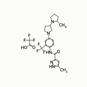 Cc1cc(C(=O)Nc2ccc(N3CCC(N4CCCC4C)C3)cc2C(F)(F)F)n[nH]1.O=C(O)C(F)(F)F